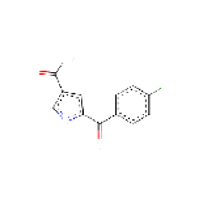 COC(=O)c1c[nH]c(C(=O)c2ccc(Cl)cc2)c1